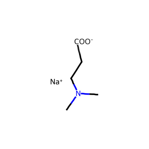 CN(C)CCC(=O)[O-].[Na+]